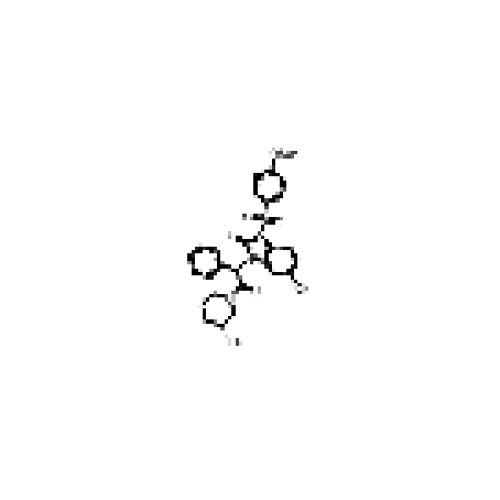 COc1ccc(S(=O)(=O)n2c(=O)n(C(C(=O)N3CCC[C@H](N)C3)c3ccccc3)c3cc(C#N)ccc32)cc1